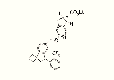 CCOC(=O)[C@H]1[C@@H]2Cc3cc(OCc4ccc5c(c4)C(c4ccccc4C(F)(F)F)CC54CCC4)ncc3[C@@H]21